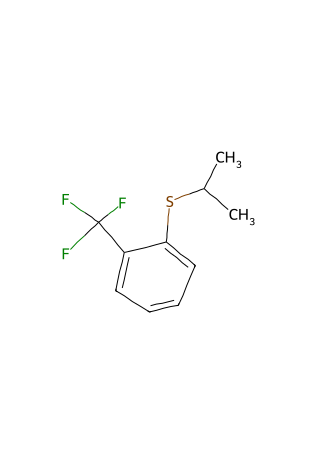 CC(C)Sc1ccccc1C(F)(F)F